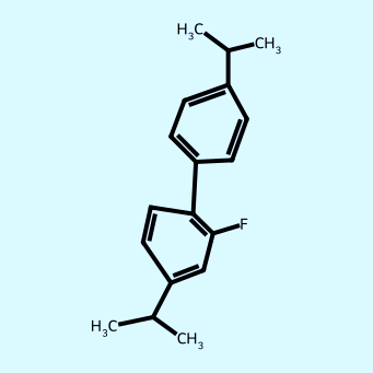 CC(C)c1ccc(-c2ccc(C(C)C)cc2F)cc1